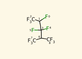 FC(C(F)(F)F)C(F)(F)C(C(F)(F)F)C(F)(F)F